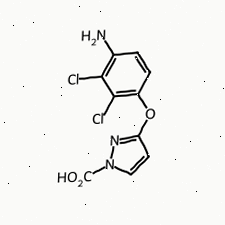 Nc1ccc(Oc2ccn(C(=O)O)n2)c(Cl)c1Cl